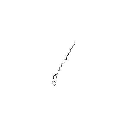 CCCCCCCCCCCCCCCCCC=COCC1CO1